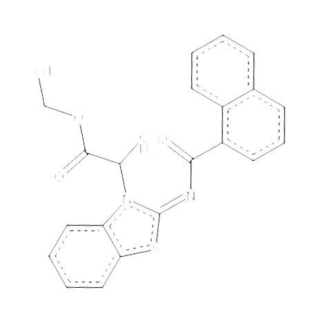 CCOC(=O)C(C)n1/c(=N\C(=O)c2cccc3ccccc23)sc2ccccc21